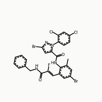 Cc1cc(Br)cc(C=C(F)C(=O)NCc2ccccc2)c1NC(=O)c1cc(Br)nn1-c1ccc(Cl)cc1Cl